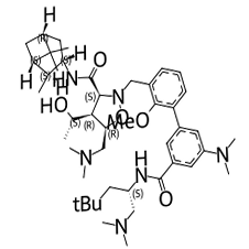 COc1c(CN2O[C@@H](CN(C)C)[C@@H]([C@H](C)O)[C@H]2C(=O)N[C@H]2C[C@H]3C[C@@H]([C@@H]2C)C3(C)C)cccc1-c1cc(C(=O)N[C@H](CN(C)C)CC(C)(C)C)cc(N(C)C)c1